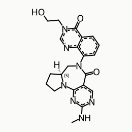 CNc1ncc2c(n1)N1CCC[C@H]1CN(c1cccc3c(=O)n(CCO)cnc13)C2=O